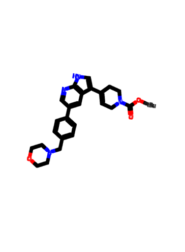 CC(C)(C)OC(=O)N1CC=C(c2c[nH]c3ncc(-c4ccc(CN5CCOCC5)cc4)cc23)CC1